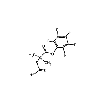 CC(C)(SC(=S)S)C(=O)Oc1c(F)c(F)c(F)c(F)c1F